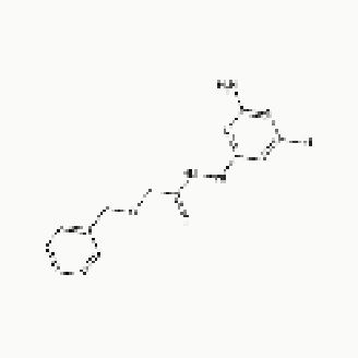 Nc1nc(Cl)cc(NNC(=O)COCc2ccccc2)n1